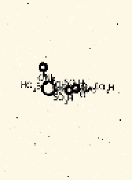 C=C1/C(O)=C(/N=N/c2ccc3cc(S(=O)(=O)CCOS(=O)(=O)O)ccc3c2S(=O)(=O)O)C(\S(=O)(=O)O)=C/C/C=C(S(=O)(=O)O)\C=C/1NC(=O)c1ccccc1